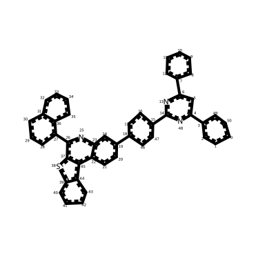 c1ccc(-c2cc(-c3ccccc3)nc(-c3ccc(-c4ccc5c(c4)nc(-c4cccc6ccccc46)c4sc6ccccc6c45)cc3)n2)cc1